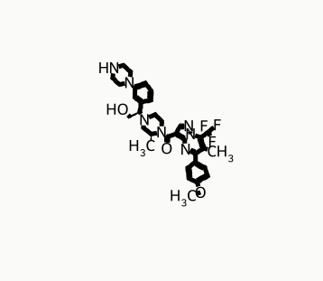 COc1ccc(-c2nc3c(C(=O)N4CCN([C@@H](CO)c5cccc(N6CCNCC6)c5)C[C@H]4C)cnn3c(C(F)(F)F)c2C)cc1